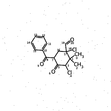 CC1(C)C(Cl)C(=O)C(C(=O)c2ccccc2)CC1(Cl)C=O